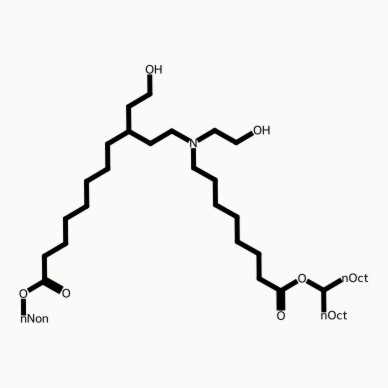 CCCCCCCCCOC(=O)CCCCCCCC(CCO)CCN(CCO)CCCCCCCC(=O)OC(CCCCCCCC)CCCCCCCC